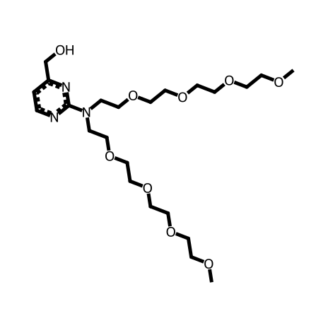 COCCOCCOCCOCCN(CCOCCOCCOCCOC)c1nccc(CO)n1